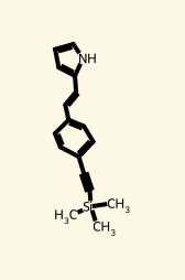 C[Si](C)(C)C#Cc1ccc(C=Cc2ccc[nH]2)cc1